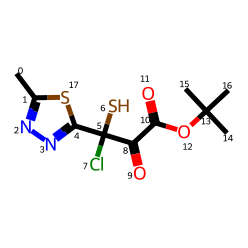 Cc1nnc(C(S)(Cl)C(=O)C(=O)OC(C)(C)C)s1